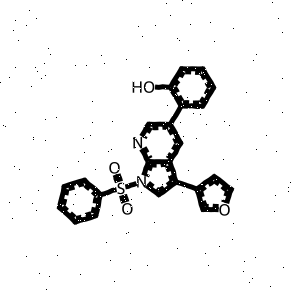 O=S(=O)(c1ccccc1)n1cc(-c2ccoc2)c2cc(-c3ccccc3O)cnc21